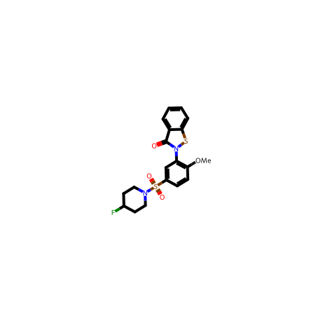 COc1ccc(S(=O)(=O)N2CCC(F)CC2)cc1-n1sc2ccccc2c1=O